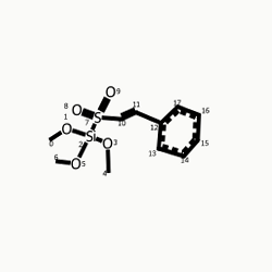 CO[Si](OC)(OC)S(=O)(=O)C=Cc1ccccc1